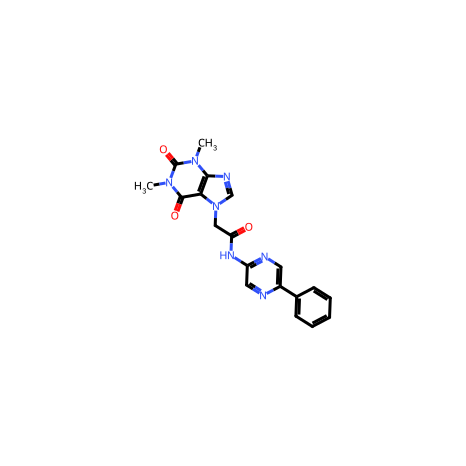 Cn1c(=O)c2c(ncn2CC(=O)Nc2cnc(-c3ccccc3)cn2)n(C)c1=O